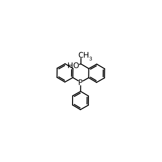 CC(O)c1ccccc1P(c1ccccc1)c1ccccc1